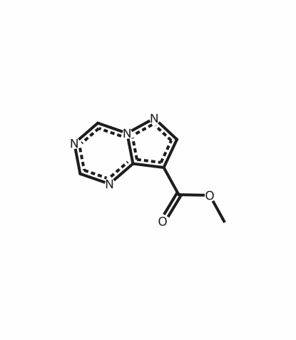 COC(=O)c1cnn2cncnc12